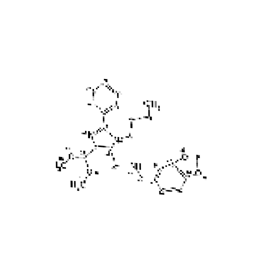 CCCCn1c(-c2ccccc2)nc(C(OC)OC)c1CNCc1ccc2c(c1)OCO2